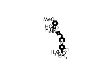 COc1cccc([C@@](O)(C(=O)NC2CC(CC3CCN(c4ccc(C(=O)N(C)C)c(Cl)c4)CC3)C2)C(F)(F)F)c1